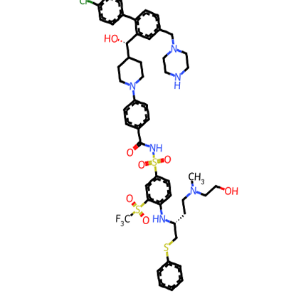 CN(CCO)CC[C@H](CSc1ccccc1)Nc1ccc(S(=O)(=O)NC(=O)c2ccc(N3CCC([C@H](O)c4cc(CN5CCNCC5)ccc4-c4ccc(Cl)cc4)CC3)cc2)cc1S(=O)(=O)C(F)(F)F